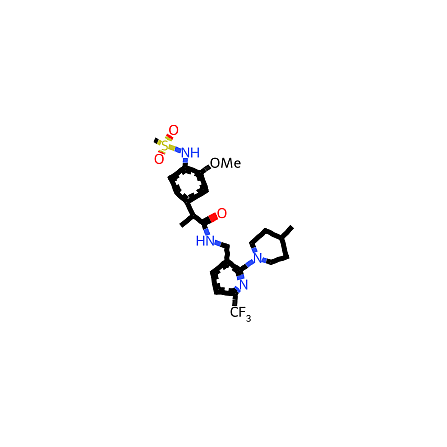 COc1cc(C(C)C(=O)NCc2ccc(C(F)(F)F)nc2N2CCC(C)CC2)ccc1NS(C)(=O)=O